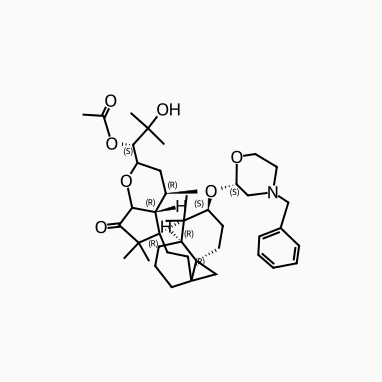 CC(=O)O[C@@H](C1C[C@@H](C)[C@H]2C(O1)C(=O)C(C)(C)[C@]2(C)CCC12CCC[C@H]3C(C)(C)[C@@H](O[C@H]4CN(Cc5ccccc5)CCO4)CC[C@@]31C2)C(C)(C)O